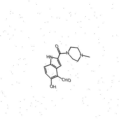 CN1CCN(C(=O)c2cc3c(C=O)c(O)ccc3[nH]2)CC1